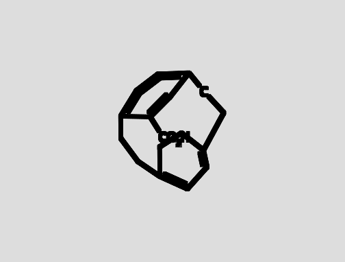 O=C(O)C1=CC2=C=C=C1CCC1=CC=C(CC2)CC1